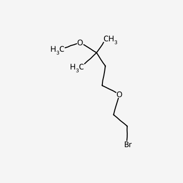 COC(C)(C)CCOCCBr